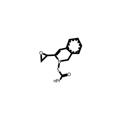 CCCC(=O)SN1Cc2ccccc2C=C1C1CO1